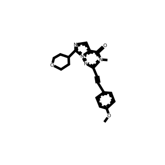 COc1ccc(C#Cc2nn3c(C4CCOCC4)ncc3c(=O)n2C)cc1